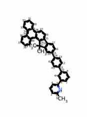 Cc1cccc(-c2cccc(-c3ccc(-c4ccc5c(c4)C(C)(C)c4c-5ccc5c6ccccc6c6ccccc6c45)cc3)c2)n1